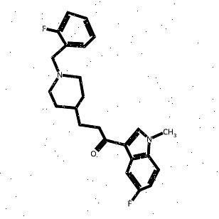 Cn1cc(C(=O)CCC2CCN(Cc3ccccc3F)CC2)c2cc(F)ccc21